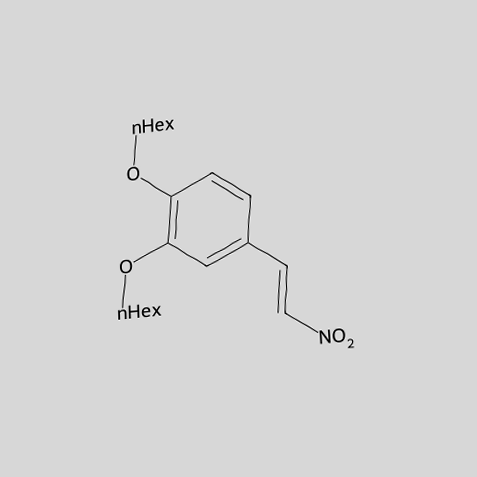 CCCCCCOc1ccc(C=C[N+](=O)[O-])cc1OCCCCCC